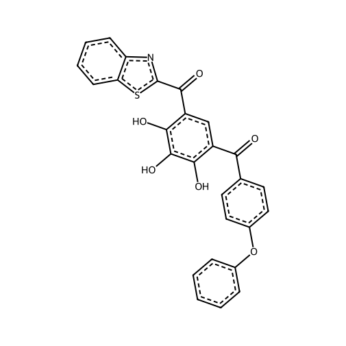 O=C(c1ccc(Oc2ccccc2)cc1)c1cc(C(=O)c2nc3ccccc3s2)c(O)c(O)c1O